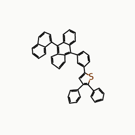 c1ccc(-c2cc(-c3cccc(-c4c5ccccc5c(-c5cccc6ccccc56)c5ccccc45)c3)sc2-c2ccccc2)cc1